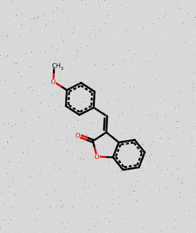 COc1ccc(C=C2C(=O)Oc3ccccc32)cc1